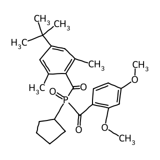 COc1ccc(C(=O)P(=O)(C(=O)c2c(C)cc(C(C)(C)C)cc2C)C2CCCC2)c(OC)c1